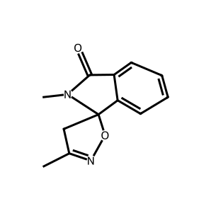 CC1=NOC2(C1)c1ccccc1C(=O)N2C